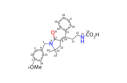 COc1ccc(CN2C(=O)/C(=C(/CCNC(=O)O)c3ccccc3)CC2(C)C)cc1